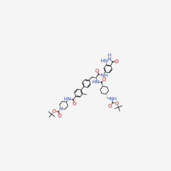 Cc1cc(C(=O)NC2CCN(C(=O)OC(C)(C)C)CC2)ccc1-c1ccc(C[C@H](NC(=O)[C@H]2CC[C@H](CNC(=O)OC(C)(C)C)CC2)C(=O)Nc2ccc3c(=O)[nH][nH]c3c2)cc1